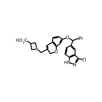 CC(C)C(Oc1ccc2c(c1)OCC(CN1CC(C(=O)O)C1)=C2)c1ccc2[nH]nc(Cl)c2c1